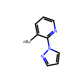 CCCCc1cccnc1-n1cccn1